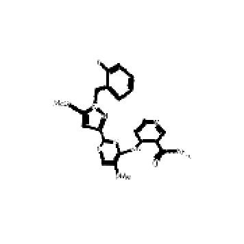 COc1cnc(-c2cc(OC)n(Cc3ccccc3F)n2)nc1Nc1ccncc1C(N)=O